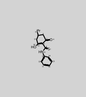 CC(C)C1CC(=O)C(C(=S)Nc2ccccc2)=C(O)C1